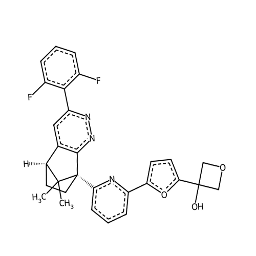 CC1(C)[C@H]2CC[C@]1(c1cccc(-c3ccc(C4(O)COC4)o3)n1)c1nnc(-c3c(F)cccc3F)cc12